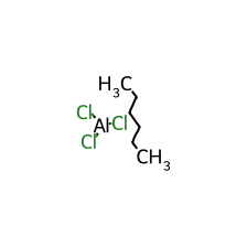 CCCCCC.[Cl][Al]([Cl])[Cl]